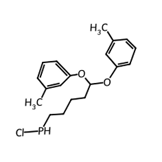 Cc1cccc(OC(CCCCPCl)Oc2cccc(C)c2)c1